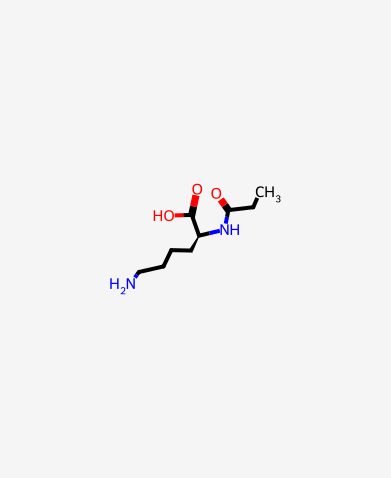 CCC(=O)N[C@@H](CCCCN)C(=O)O